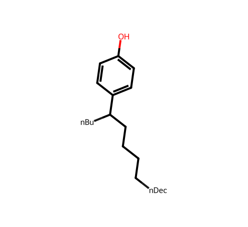 CCCCCCCCCCCCCCC(CCCC)c1ccc(O)cc1